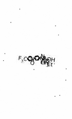 CCNC(O)c1cnn(-c2ccc(-n3ccc(C(F)(F)F)cc3=O)cc2)c1C(F)(F)F